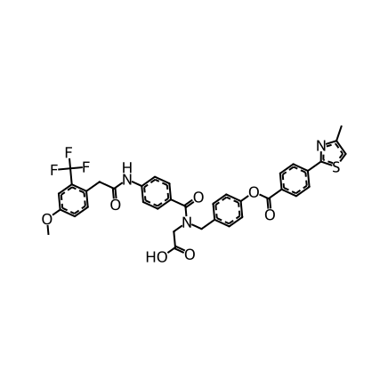 COc1ccc(CC(=O)Nc2ccc(C(=O)N(CC(=O)O)Cc3ccc(OC(=O)c4ccc(-c5nc(C)cs5)cc4)cc3)cc2)c(C(F)(F)F)c1